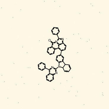 O=c1c2ccccc2c2c(-c3ccc4c(c3)C3C=CC=CC3N4c3nc(-c4ccccc4)c4ccccc4n3)ccc3nc(-c4ccccc4)n1c32